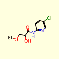 CCOCC(O)C(=O)Nc1ccc(Cl)cn1